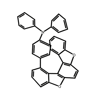 c1ccc(N(c2ccccc2)c2ccc(-c3cccc4oc5ccc6oc7ccccc7c6c5c34)cc2)cc1